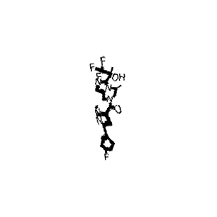 C[C@H]1CN(C(=O)c2cc(-c3ccc(F)cc3)nn2C)Cc2cnc([C@@](C)(O)C(F)(F)F)n21